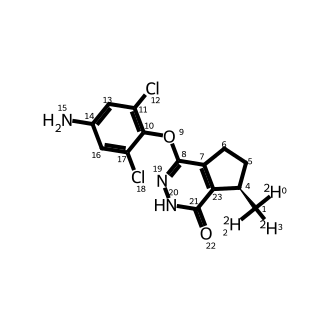 [2H]C([2H])([2H])[C@@H]1CCc2c(Oc3c(Cl)cc(N)cc3Cl)n[nH]c(=O)c21